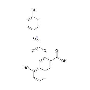 O=C(/C=C/c1ccc(O)cc1)Oc1cc2c(O)cccc2cc1C(=O)O